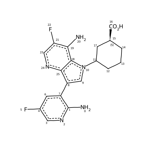 Nc1ncc(F)cc1-c1cn(C2CCC[C@H](C(=O)O)C2)c2c(N)c(F)cnc12